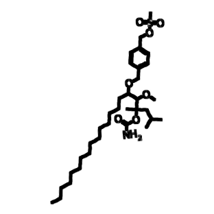 CCCCCCCCCCCCCCCC(OCc1ccc(COS(C)(=O)=O)cc1)C(OC)C(C)(CC(C)C)OC(N)=O